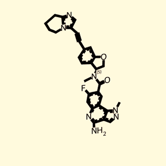 CN(C(=O)c1cc2c(cc1F)nc(N)c1cnn(C)c12)[C@@H]1COc2cc(C#Cc3cnc4n3CCCC4)ccc21